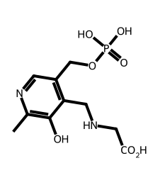 Cc1ncc(COP(=O)(O)O)c(CNCC(=O)O)c1O